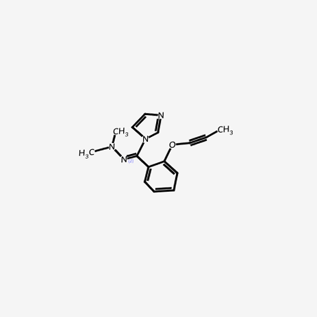 CC#COc1ccccc1/C(=N/N(C)C)n1ccnc1